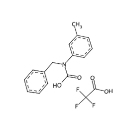 Cc1cccc(N(Cc2ccccc2)C(=O)O)c1.O=C(O)C(F)(F)F